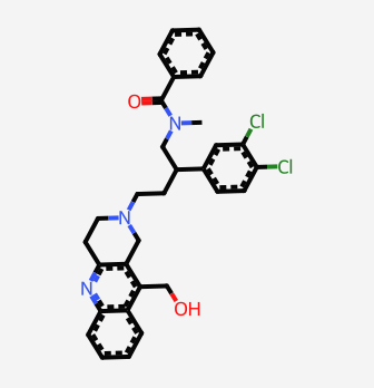 CN(CC(CCN1CCc2nc3ccccc3c(CO)c2C1)c1ccc(Cl)c(Cl)c1)C(=O)c1ccccc1